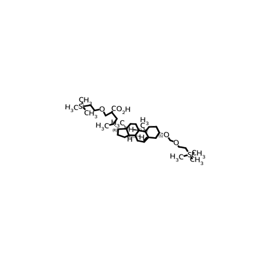 CC(CC(COCC[Si](C)(C)C)C(=O)O)[C@H]1CC[C@H]2[C@@H]3CC=C4C[C@@H](OCOCC[Si](C)(C)C)CC[C@]4(C)[C@H]3CC[C@]12C